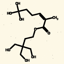 CC(=CCCC(O)(O)O)C(=O)OCCC(CO)(CO)CO